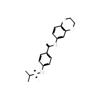 CC(C)S(=O)(=O)Nc1ccc(C(=O)Nc2ccc3c(c2)OCCO3)cc1